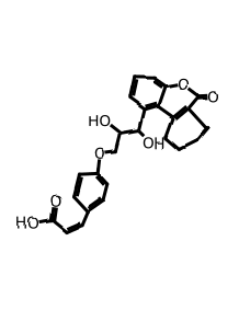 O=C(O)/C=C\c1ccc(OCC(O)C(O)c2cccc3oc(=O)c4c(c23)CCCC4)cc1